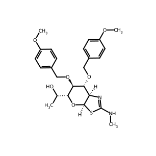 CNC1=N[C@@H]2[C@@H](OCc3ccc(OC)cc3)[C@H](OCc3ccc(OC)cc3)[C@@H](C(C)O)O[C@@H]2S1